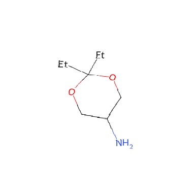 CCC1(CC)OCC(N)CO1